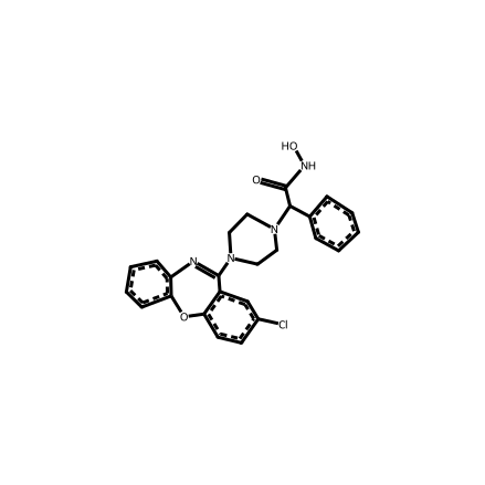 O=C(NO)C(c1ccccc1)N1CCN(C2=Nc3ccccc3Oc3ccc(Cl)cc32)CC1